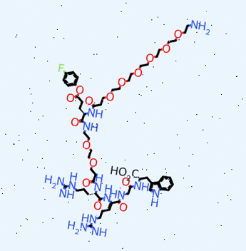 N=C(N)NCC/C=C(\NC(=O)[C@H](CCCNC(=N)N)NC(=O)CCOCCOCCNC(=O)[C@@H](CCC(=O)Oc1ccc(F)cc1)NC(=O)CCOCCOCCOCCOCCOCCOCCN)C(=O)NCC(=O)N[C@@H](Cc1c[nH]c2ccccc12)C(=O)O